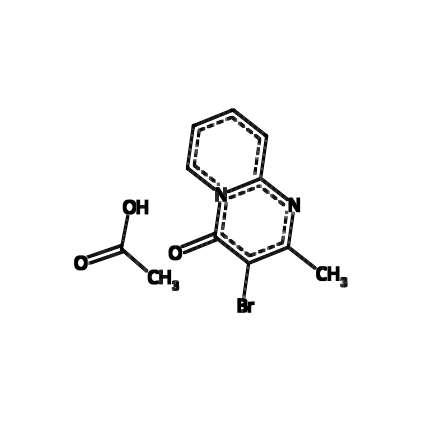 CC(=O)O.Cc1nc2ccccn2c(=O)c1Br